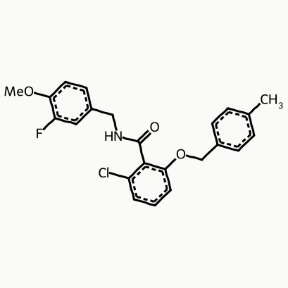 COc1ccc(CNC(=O)c2c(Cl)cccc2OCc2ccc(C)cc2)cc1F